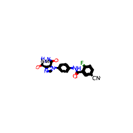 CNC(=O)c1ncn(-c2ccc(NC(=O)c3cc(C#N)ccc3F)cc2)c1C(N)=O